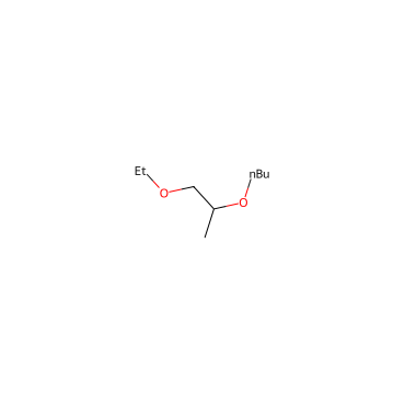 CCCCOC(C)COCC